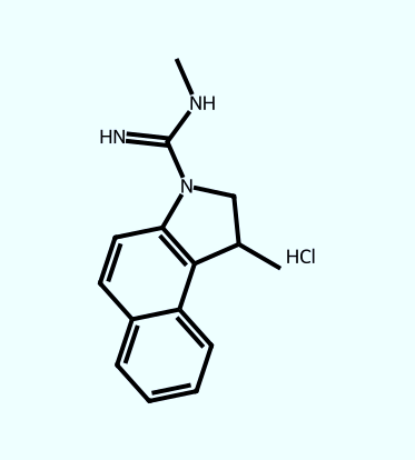 CNC(=N)N1CC(C)c2c1ccc1ccccc21.Cl